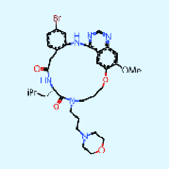 COc1cc2ncnc3c2cc1OCCCN(CCCN1CCOCC1)C(=O)[C@H](CC(C)C)NC(=O)Cc1ccc(Br)cc1N3